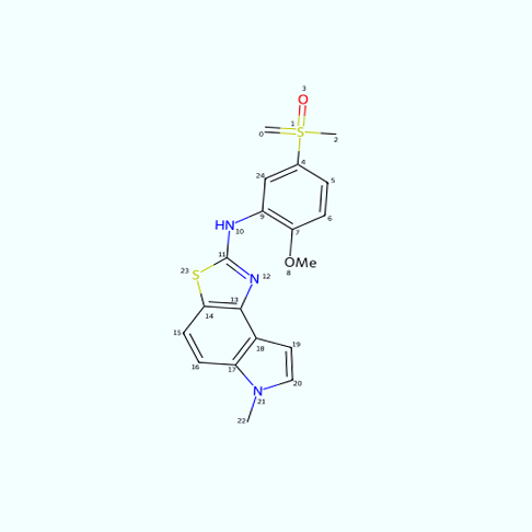 C=S(C)(=O)c1ccc(OC)c(Nc2nc3c(ccc4c3ccn4C)s2)c1